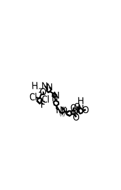 C[C@@H]1CN(CC2CCC(n3cc(-c4cnc(N)c(OCCc5c(Cl)ccc(F)c5Cl)c4)cn3)CC2)C[C@@H](C)N1c1ccc2c(c1)C(=O)N([C@@H]1CCC(=O)NC1=O)C2=O